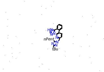 CCCCCc1nc(C(C)(C)C)nn1Cc1ccc(-c2ccccc2-c2nnn[nH]2)cn1